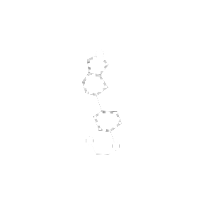 c1cc2c(cc1-c1ccc3cocc3c1)OCCO2